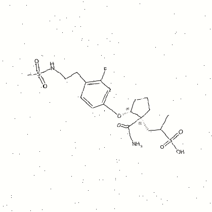 CC(C[C@@]1(C(N)=O)CCC[C@H]1Oc1ccc(CCNS(C)(=O)=O)c(F)c1)S(=O)(=O)O